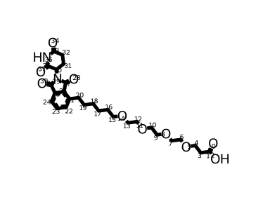 O=C(O)CCOCCOCCOCCOCCCCCCc1cccc2c1C(=O)N(C1CCC(=O)NC1=O)C2=O